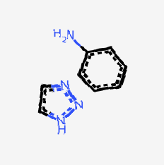 Nc1ccccc1.c1c[nH]nn1